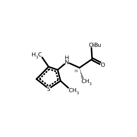 Cc1csc(C)c1N[C@@H](C)C(=O)OCC(C)C